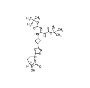 CC(C)(C)OC(=O)/N=C(/NC(=O)OC(C)(C)C)N[C@H]1C[C@@H](c2nnc([C@@H]3CC[C@H]4CN3C(=O)N4O)o2)C1